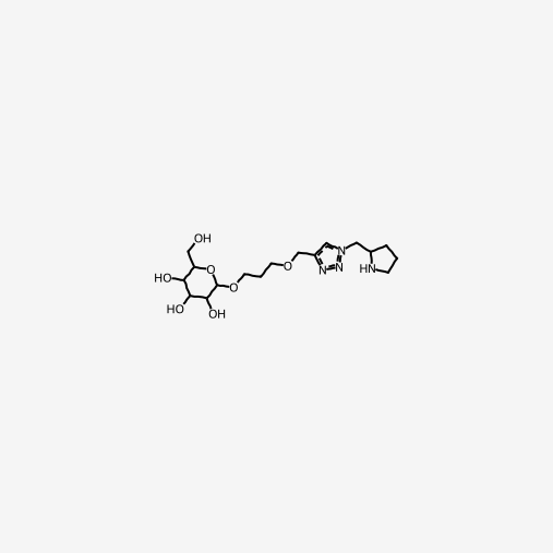 OCC1OC(OCCCOCc2cn(CC3CCCN3)nn2)C(O)C(O)C1O